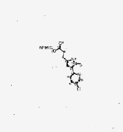 CCCCCOC(=O)CCc1cc(-c2ccc(Cl)cn2)n(C)n1